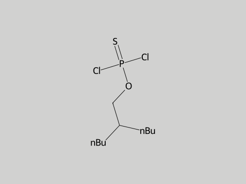 CCCCC(CCCC)COP(=S)(Cl)Cl